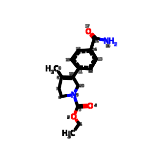 CCOC(=O)N1CCC(C)=C(c2ccc(C(N)=O)cc2)C1